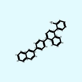 Fc1ccccc1-c1ccc(-c2ccc(-c3ccc4ccccc4c3)cc2)c2ccccc12